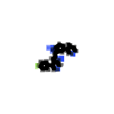 Cc1ccncc1-c1ccc2[nH]nc(-c3cc4c(-c5ccc(F)cc5)cncc4[nH]3)c2c1